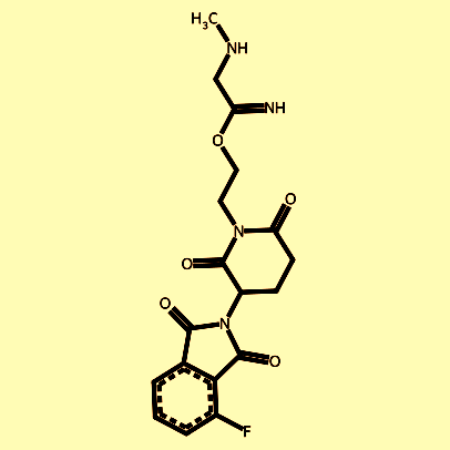 CNCC(=N)OCCN1C(=O)CCC(N2C(=O)c3cccc(F)c3C2=O)C1=O